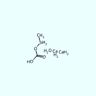 C[SiH2]OC(=O)O.O.[CaH2].[CaH2]